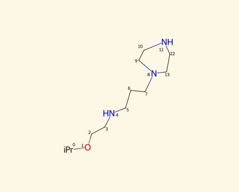 CC(C)OCCNCCCN1CCNCC1